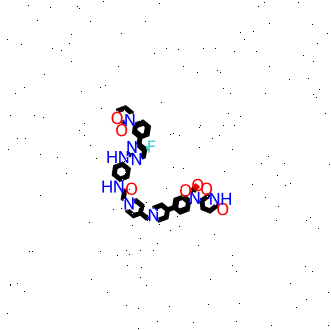 O=C1CCC(n2c(=O)oc3cc(C4CCN(CC5CCN(CC(=O)N[C@H]6CC[C@H](Nc7ncc(F)c(-c8cccc(N9CCCOC9=O)c8)n7)CC6)CC5)CC4)ccc32)C(=O)N1